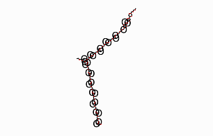 C=C(C)C(=O)OCCCCCC(=O)OCCCCCC(=O)OCCCCCC(=O)OCCCCCC(=O)OCCCCCC(=O)OCCCCCC(=O)OC(CCCCC(=O)OCCCCCC(=O)OCCCCCC(=O)OCCCCCC(=O)OCCCCCCOc1ccc(C(=O)Oc2ccc(C3CCC(CCCCC)CC3)cc2)cc1)OC(=O)CCCCC